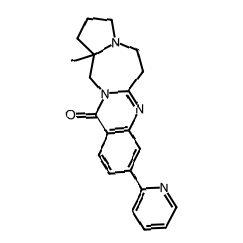 CC12CCCN1CCc1nc3cc(-c4ccccn4)ccc3c(=O)n1C2